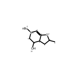 CCCCN1C=C2OC(C)CC2C(O)C1